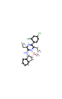 CCc1nc(-c2ccc(Cl)cc2Cl)c(CC)nc1N[C@@H]1c2ccccc2C[C@H]1OC